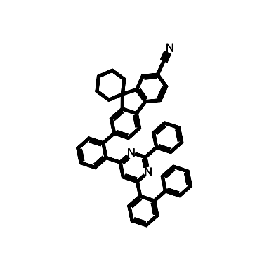 N#Cc1ccc2c(c1)C1(CCCCC1)c1cc(-c3ccccc3-c3cc(-c4ccccc4-c4ccccc4)nc(-c4ccccc4)n3)ccc1-2